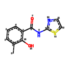 Cc1cccc(C(=O)Nc2nccs2)c1O